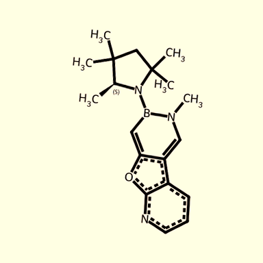 C[C@@H]1N(B2C=c3oc4ncccc4c3=CN2C)C(C)(C)CC1(C)C